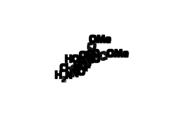 COc1ccc(OP(=O)(OC[C@@]2(C(F)F)O[C@@H](n3cc(Cl)c(N)nc3=O)[C@H](O)[C@@H]2O)Oc2ccc(OC)cc2)cc1